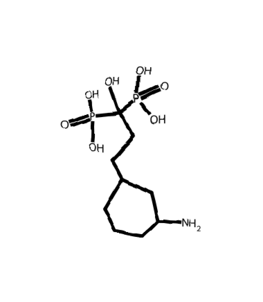 NC1CCCC(CCC(O)(P(=O)(O)O)P(=O)(O)O)C1